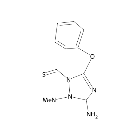 CNN1C(N)N=C(Oc2ccccc2)N1C=S